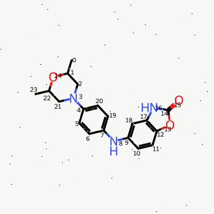 CC1CN(c2ccc(Nc3ccc4oc(=O)[nH]c4c3)cc2)CC(C)O1